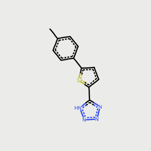 Cc1ccc(-c2ccc(-c3nnn[nH]3)s2)cc1